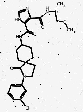 COC[C@@H](C)NC(=O)c1nc[nH]c1C(=O)NC1CCC2(CC1)CCN(c1cccc(Cl)c1)C2=O